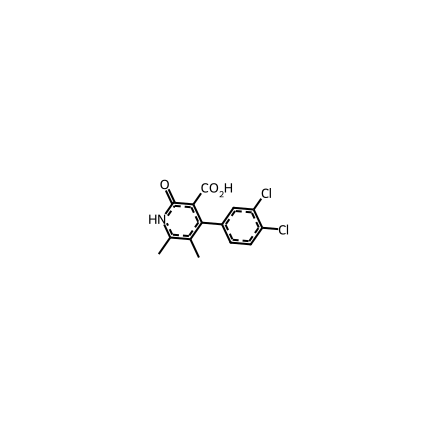 Cc1[nH]c(=O)c(C(=O)O)c(-c2ccc(Cl)c(Cl)c2)c1C